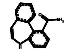 NC(=O)c1cccc2c1-c1ccccc1C=CN2